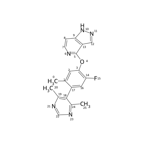 Cc1cc(Oc2nccc3[nH]ncc23)c(F)cc1-c1c(C)ncnc1C